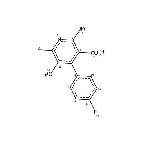 Cc1nc(C(C)C)c(C(=O)O)c(-c2ccc(F)cc2)c1O